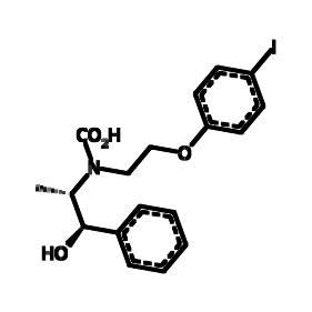 C[C@@H]([C@H](O)c1ccccc1)N(CCOc1ccc(I)cc1)C(=O)O